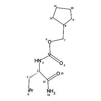 CC(C)C[C@H](NC(=O)OCC1CCCC1)C(N)=O